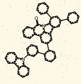 O=c1c2ccccc2c2cc(-c3ccccc3-c3cccc(-n4c5ccccc5c5ccccc54)c3)cc3c4cc(-c5ccccc5)cc(-c5ccccc5)c4n1c23